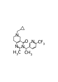 Cc1nc2c(c(=O)n1C(C)c1ccc(C(F)(F)F)nc1)CN(CC1CC1)CC2